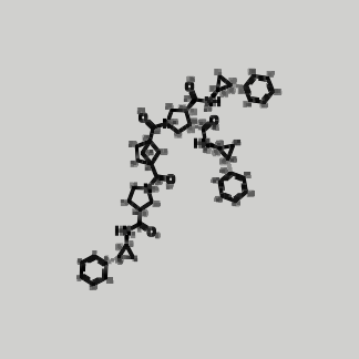 O=C(N[C@H]1C[C@@H]1c1ccccc1)[C@H]1CCN(C(=O)C23CCC(C(=O)N4C[C@@H](C(=O)N[C@H]5C[C@@H]5c5ccccc5)[C@H](C(=O)N[C@H]5C[C@@H]5c5ccccc5)C4)(C2)C3)C1